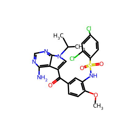 COc1ccc(C(=O)c2cn(C(C)C)c3ncnc(N)c23)cc1NS(=O)(=O)c1ccc(Cl)cc1Cl